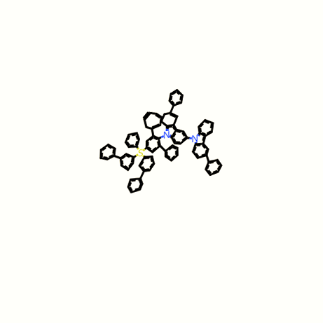 C1#CCC(c2cc(S(c3ccccc3)(c3cccc(-c4ccccc4)c3)c3cccc(-c4ccccc4)c3)cc(-c3ccccc3)c2-n2c3c(c4cc(-n5c6ccccc6c6cc(-c7ccccc7)ccc65)ccc42)C=C(c2ccccc2)CC3)=CC=C1